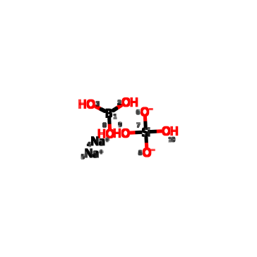 OB(O)O.[Na+].[Na+].[O-][Si]([O-])(O)O